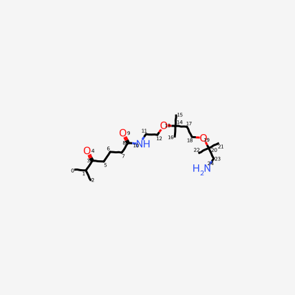 CC(C)C(=O)CCCC(=O)NCCOC(C)(C)CCOC(C)(C)CN